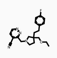 CCOCC1(CCc2ccc(F)cc2)CCN(Cc2nnccc2C#N)C1